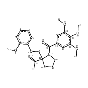 COc1ccccc1OCC1(C(C)=S)SCCN1C(=O)c1cc(OC)c(OC)c(OC)c1